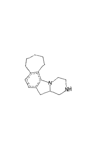 c1cc2c(c3c1CCCCC3)N1CCNCC1C2